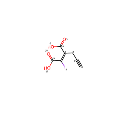 C#CCC(C(=O)O)=C(I)C(=O)O